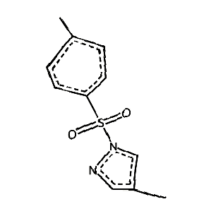 Cc1ccc(S(=O)(=O)n2cc(C)cn2)cc1